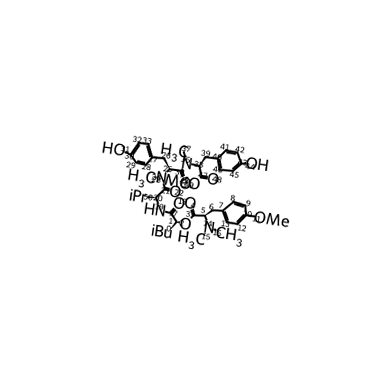 CC[C@H](C)[C@H](OC(=O)[C@@H](Cc1ccc(OC)cc1)N(C)C)C(=O)N[C@H](C(=O)N(C)[C@@H](Cc1ccc(O)cc1)C(=O)N(C)[C@@H](Cc1ccc(O)cc1)C(=O)OC)C(C)C